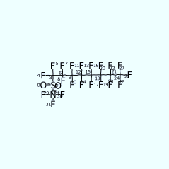 O=S(=O)(C(F)(F)C(F)(F)C(F)(F)C(F)(F)C(F)(F)C(F)(F)C(F)(F)C(F)(F)F)[N+](F)(F)F